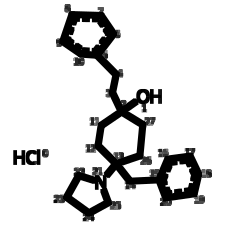 Cl.OC1(CCc2ccccc2)CCC(Cc2ccccc2)(N2CCCC2)CC1